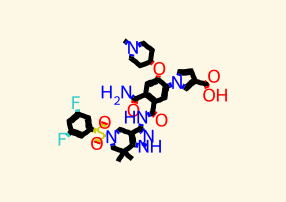 CN1CCC(Oc2cc(C(N)=O)c(C(=O)Nc3n[nH]c4c3CN(S(=O)(=O)c3cc(F)cc(F)c3)CC4(C)C)cc2-n2ccc(C(=O)O)c2)CC1